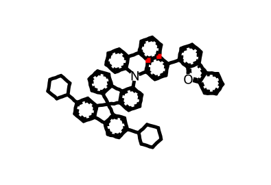 c1ccc(-c2ccccc2N(c2ccc(-c3cccc4c3oc3ccccc34)cc2)c2cccc3c2-c2ccccc2C32c3cc(C4CCCCC4)ccc3-c3ccc(C4CCCCC4)cc32)cc1